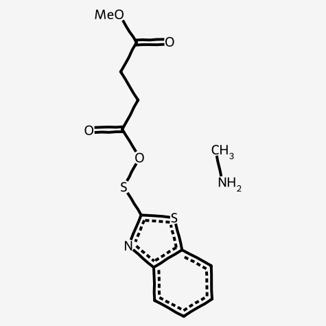 CN.COC(=O)CCC(=O)OSc1nc2ccccc2s1